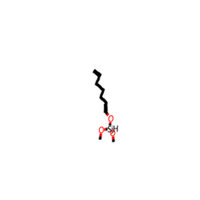 C=CCCCC=CO[SiH](OC)OC